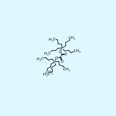 CCCCP(CCCC)(CCCC)(CCCC)OC(=O)C(=O)OP(CCCC)(CCCC)(CCCC)CCCC